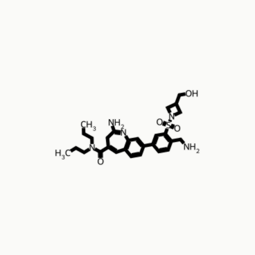 CCCN(CCC)C(=O)C1=Cc2ccc(-c3ccc(CN)c(S(=O)(=O)N4CC(CO)C4)c3)cc2N=C(N)C1